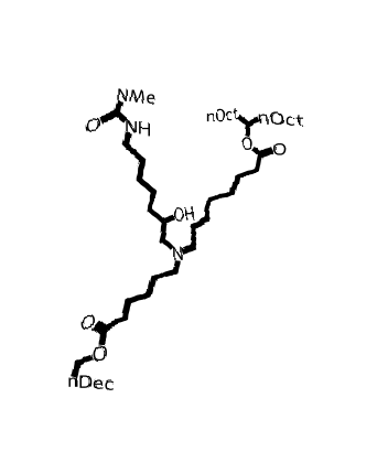 CCCCCCCCCCCOC(=O)CCCCCN(CCCCCCCC(=O)OC(CCCCCCCC)CCCCCCCC)CC(O)CCCCCNC(=O)NC